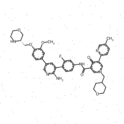 COc1cc(-c2cnc(N)c(-c3ccc(NC(=O)c4cn(CC5CCOCC5)cc(-c5ccc(C)cn5)c4=O)cc3F)c2)ccc1OC[C@H]1COCCN1